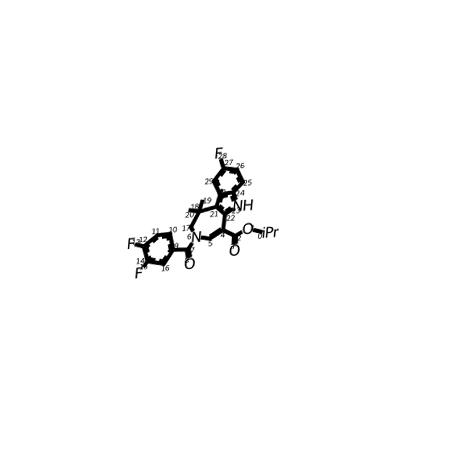 CC(C)OC(=O)C1=CN(C(=O)c2ccc(F)c(F)c2)CC(C)(C)c2c1[nH]c1ccc(F)cc21